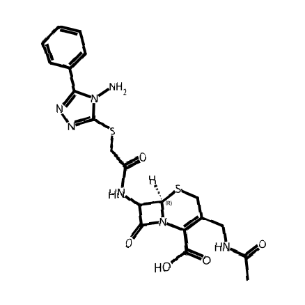 CC(=O)NCC1=C(C(=O)O)N2C(=O)C(NC(=O)CSc3nnc(-c4ccccc4)n3N)[C@H]2SC1